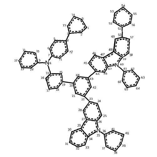 c1ccc(-c2ccc(N(c3ccccc3)c3cccc(-c4cc(-c5ccc6c(c5)c5ccccc5n6-c5ccccc5)cc(-c5ccc6c7cc(-c8ccccc8)ccc7n(-c7ccccc7)c6c5)c4)c3)cc2)cc1